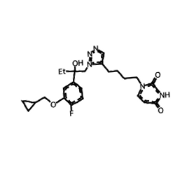 CCC(O)(Cn1nncc1CCCCn1ccc(=O)[nH]c1=O)c1ccc(F)c(OCC2CC2)c1